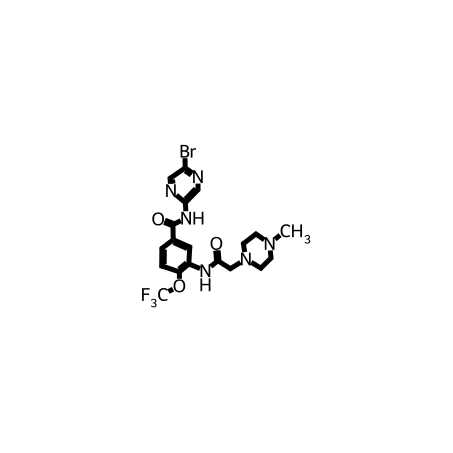 CN1CCN(CC(=O)Nc2cc(C(=O)Nc3cnc(Br)cn3)ccc2OC(F)(F)F)CC1